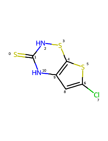 S=C1NSc2sc(Cl)cc2N1